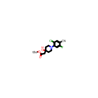 CC(C)(C)OC(=O)CC1(O)CCN(c2cc(F)c(C#N)cc2Cl)CC1